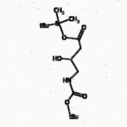 CC(C)(C)OC(=O)NCC(O)CC(=O)O[Si](C)(C)C(C)(C)C